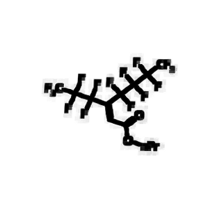 CCCOC(=O)C=C(C(F)(F)C(F)(F)C(F)(F)F)C(F)(F)C(F)(F)C(F)(F)C(F)(F)F